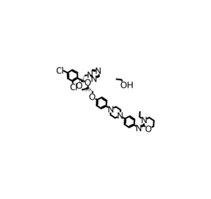 CCN1CCCOC1=Nc1ccc(N2CCN(c3ccc(OC[C@@H]4CO[C@@](Cn5cncn5)(c5ccc(Cl)cc5Cl)O4)cc3)CC2)cc1.CCO